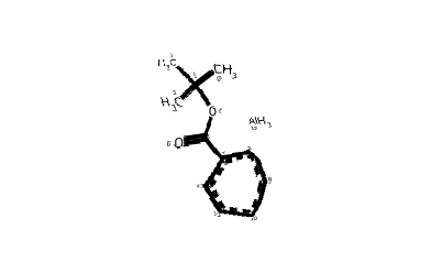 CC(C)(C)OC(=O)c1ccccc1.[AlH3]